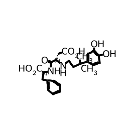 CC(C)(CCN[C@@H](CC(=O)O)C(=O)N[C@@H](Cc1ccccc1)C(=O)O)c1ccc(O)c(O)c1